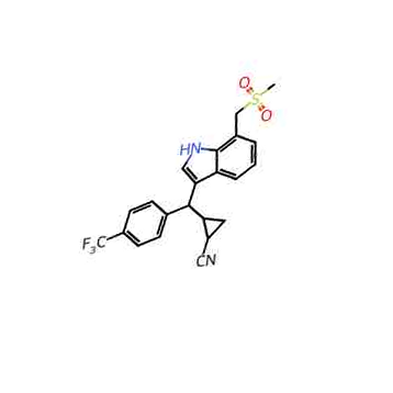 CS(=O)(=O)Cc1cccc2c(C(c3ccc(C(F)(F)F)cc3)C3CC3C#N)c[nH]c12